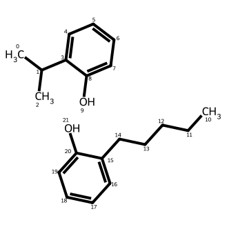 CC(C)c1ccccc1O.CCCCCc1ccccc1O